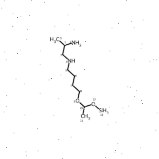 CC(N)CNCCCCOC(C)O[SiH3]